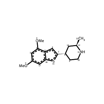 COc1cc(OC)c2cc([C@H]3CCN[C@H](C)C3)sc2c1